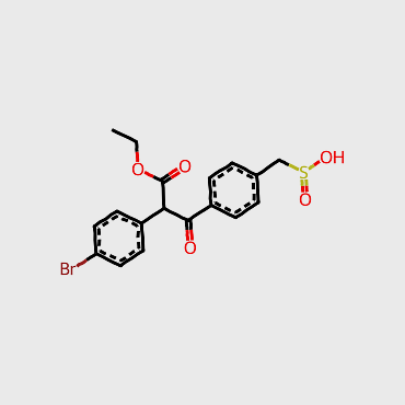 CCOC(=O)C(C(=O)c1ccc(CS(=O)O)cc1)c1ccc(Br)cc1